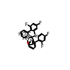 O=C(O)[C]1([Ir]([c]2cc(F)cc(F)c2-c2ccccn2)[c]2cc(F)cc(F)c2-c2ccccn2)C=CC=CN1